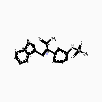 CS(=O)(=O)Nc1cccc(/C(=C/c2c[nH]c3ncccc23)C(N)=O)c1